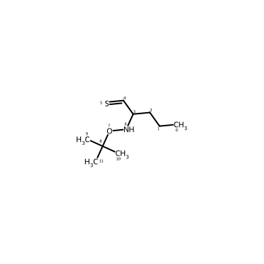 CCCC(C=S)NOC(C)(C)C